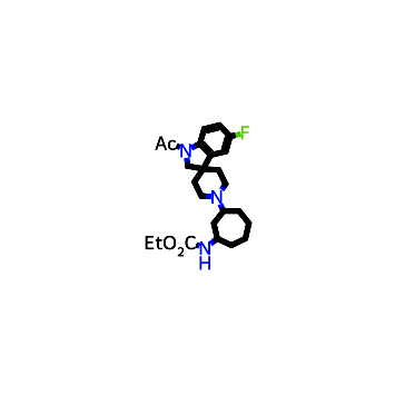 CCOC(=O)NC1CCCCC(N2CCC3(CC2)CN(C(C)=O)c2ccc(F)cc23)C1